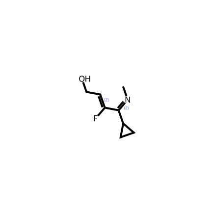 C/N=C(\C(F)=C\CO)C1CC1